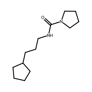 O=C(NCCCC1CCCC1)N1CCCC1